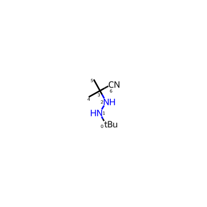 CC(C)(C)NNC(C)(C)C#N